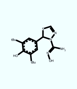 CC(C)(C)c1cc(C2S[C]=NN2C(N)=NO)cc(C(C)(C)C)c1O